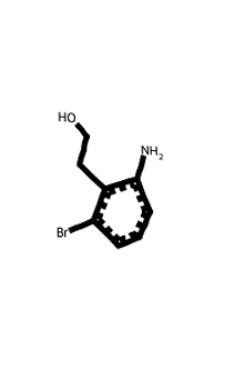 Nc1cccc(Br)c1CCO